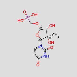 C[C@@]1(O)C(O)[C@@H](OCP(=O)(O)O)O[C@H]1n1ccc(=O)[nH]c1=O